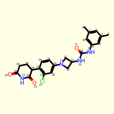 Cc1cc(C)cc(NC(=O)NC2CN(c3ccc(C4CCC(=O)NC4=O)c(Cl)c3)C2)c1